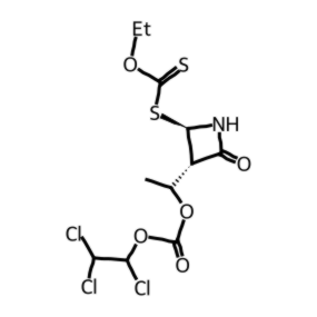 CCOC(=S)S[C@H]1NC(=O)[C@@H]1C(C)OC(=O)OC(Cl)C(Cl)Cl